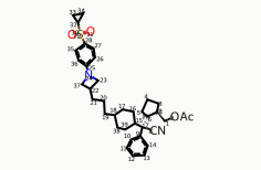 CC(=O)OC[C@@H]1CCC[C@H]1C(C#N)(c1ccccc1)C1CCC(CCCC2CN(c3ccc(S(=O)(=O)C4CC4)cc3)C2)CC1